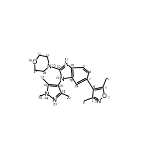 Cc1noc(C)c1-c1ccc2nc(N3CCOCC3)n(-c3c(C)nn(C)c3C)c2c1